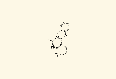 Cc1nc(Oc2ccccc2C)c2c(n1)C(C)(C)CCC2